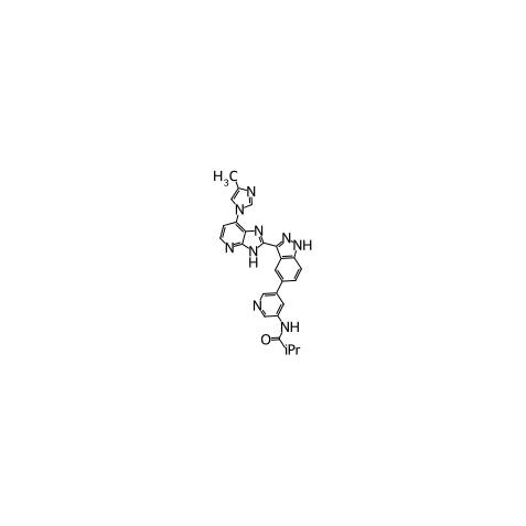 Cc1cn(-c2ccnc3[nH]c(-c4n[nH]c5ccc(-c6cncc(NC(=O)C(C)C)c6)cc45)nc23)cn1